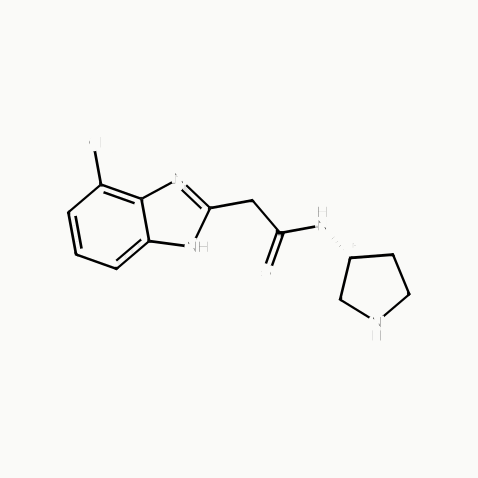 O=C(Cc1nc2c(C(F)(F)F)cccc2[nH]1)N[C@@H]1CCNC1